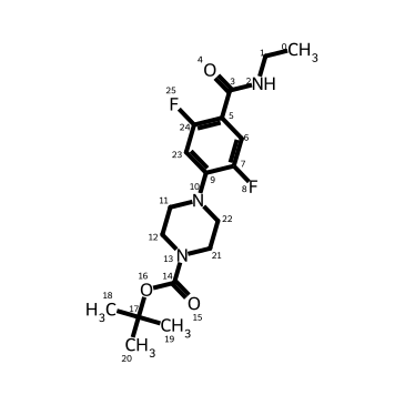 CCNC(=O)c1cc(F)c(N2CCN(C(=O)OC(C)(C)C)CC2)cc1F